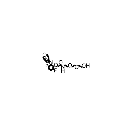 O=C(COc1c(F)ccc2sc(N3C4CCC3COC4)nc12)NCCOCCOCCO